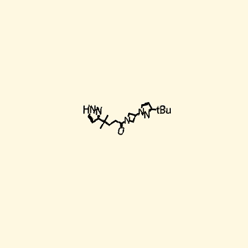 CC(C)(C)c1ccn(C2CN(C(=O)CCC(C)(C)c3cc[nH]n3)C2)n1